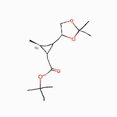 C[C@@H]1C(C(=O)OC(C)(C)C)C1C1COC(C)(C)O1